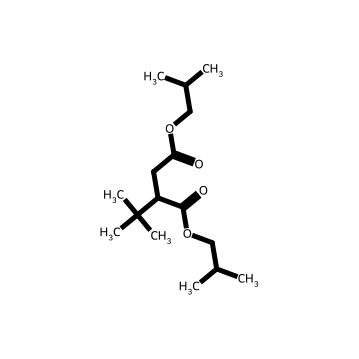 CC(C)COC(=O)CC(C(=O)OCC(C)C)C(C)(C)C